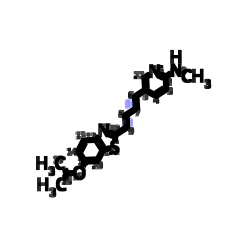 CNc1ccc(/C=C/C=C/c2nc3ccc(OC(C)C)cc3s2)cn1